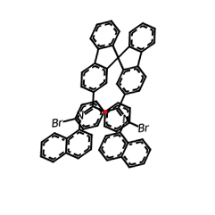 Brc1ccc(/C(=N\c2cccc3ccccc23)c2ccc3c(c2)C2(c4ccccc4-3)c3ccccc3-c3ccc(/C(=N/c4cccc5ccccc45)c4ccc(Br)cc4)cc32)cc1